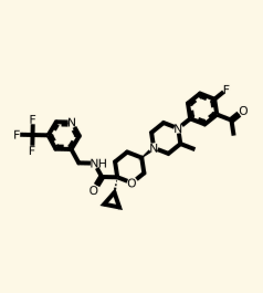 CC(=O)c1cc(N2CCN([C@@H]3CC[C@@](C(=O)NCc4cncc(C(F)(F)F)c4)(C4CC4)OC3)CC2C)ccc1F